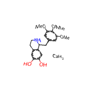 COc1cc(CC2NCCc3cc(O)c(O)cc32)cc(OC)c1OC.[CaH2]